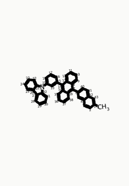 Cc1ccc2cc(-c3c4ccccc4c(-c4cccc(-n5c6ccccc6c6ccccc65)c4)c4ccccc34)ccc2c1